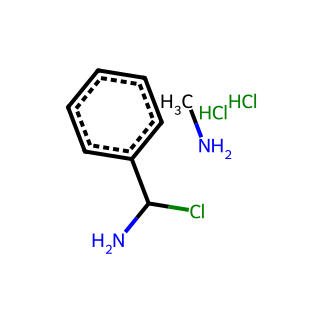 CN.Cl.Cl.NC(Cl)c1ccccc1